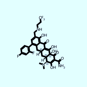 CN(C)[C@@H]1C(O)=C(C(N)=O)C(=O)[C@@]2(O)C(O)=C3C(=O)c4c(O)c(CNCCC(F)(F)F)cc(-c5ccc(F)cc5F)c4C[C@H]3C[C@@H]12